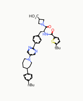 CCCCc1ccc(C2CCCN(c3cnc(-c4ccc(C[C@H](NC(=O)c5ccc(C(C)(C)C)s5)C(=O)N5CC(C(=O)O)C5)cc4)nc3)CC2)cc1